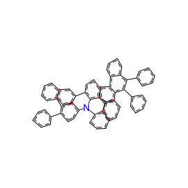 c1ccc(-c2ccc(N(c3ccccc3-c3ccc4c(c3)c(-c3ccccc3)c(-c3ccccc3)c3ccccc34)c3c(-c4ccccc4)cccc3-c3ccccc3)cc2-c2ccccc2)cc1